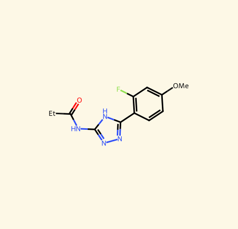 CCC(=O)Nc1nnc(-c2ccc(OC)cc2F)[nH]1